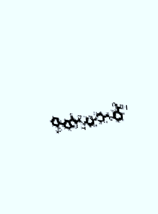 COc1ccccc1-c1ccc2oc(C(=O)Nc3ccc(N4CCC(COc5cccc(C(=O)O)c5)CC4)nc3)c(C)c2c1